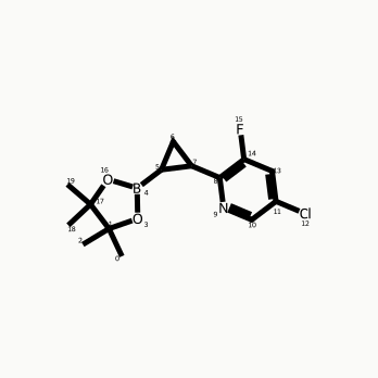 CC1(C)OB(C2CC2c2ncc(Cl)cc2F)OC1(C)C